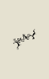 CC=C(C)[SiH2]OOO[SiH2]C(C)=CC